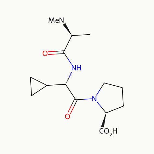 CN[C@@H](C)C(=O)N[C@H](C(=O)N1CCC[C@H]1C(=O)O)C1CC1